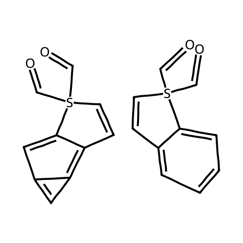 O=CS1(C=O)C=Cc2c3cc-3cc21.O=CS1(C=O)C=Cc2ccccc21